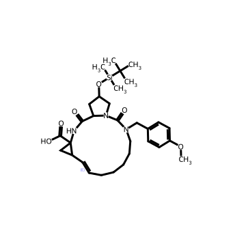 COc1ccc(CN2CCCCC/C=C/C3CC3(C(=O)O)NC(=O)C3CC(O[Si](C)(C)C(C)(C)C)CN3C2=O)cc1